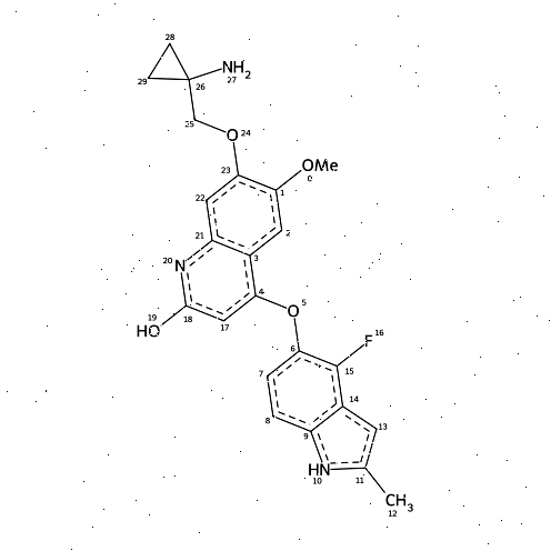 COc1cc2c(Oc3ccc4[nH]c(C)cc4c3F)cc(O)nc2cc1OCC1(N)CC1